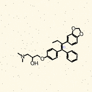 CC/C(=C(/c1ccccc1)c1ccc(OCC(O)CN(C)C)cc1)c1ccc2c(c1)OCO2